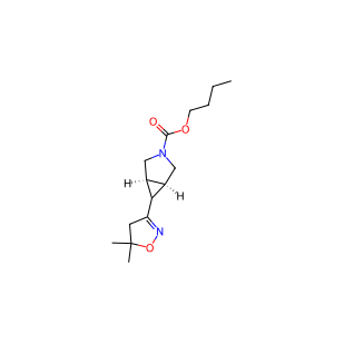 CCCCOC(=O)N1C[C@@H]2C(C3=NOC(C)(C)C3)[C@@H]2C1